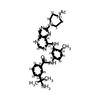 CC(=O)N1CCN(c2ncc3ncnc(Nc4cc(NC(=O)c5cccc(C(C)(C)N)c5)ccc4C)c3n2)CC1